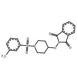 O=C1c2ccccc2C(=O)N1OC1CCN(S(=O)(=O)c2cccc(C(F)(F)F)c2)CC1